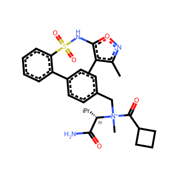 Cc1noc(NS(=O)(=O)c2ccccc2-c2ccc(C[N+](C)(C(=O)C3CCC3)[C@H](C(N)=O)C(C)C)cc2)c1C